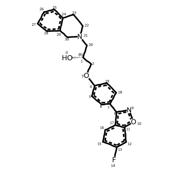 O[C@@H](COc1ccc(-c2noc3cc(F)ccc23)cc1)CN1CCc2ccccc2C1